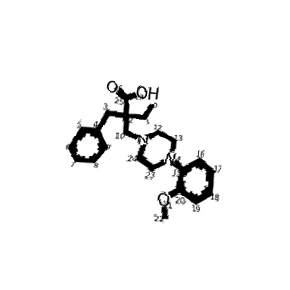 CCC(Cc1ccccc1)(CN1CCN(c2ccccc2OC)CC1)C(=O)O